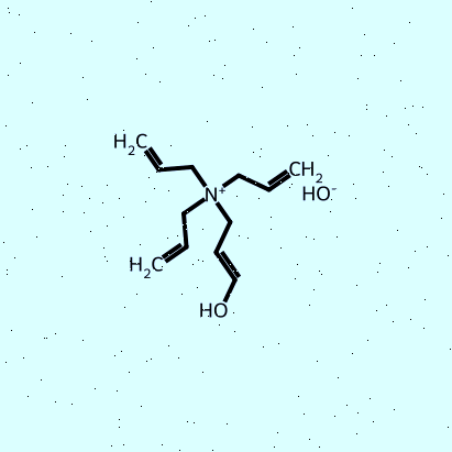 C=CC[N+](CC=C)(CC=C)CC=CO.[OH-]